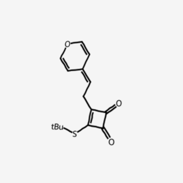 CC(C)(C)Sc1c(CC=C2C=COC=C2)c(=O)c1=O